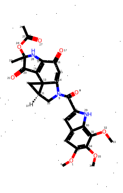 COc1cc2cc(C(=O)N3C[C@H]4CC45C3=CC(=O)C3=C5C(=O)C(C)(OC(C)=O)N3)[nH]c2c(OC)c1OC